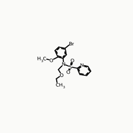 CCOCN(c1cc(Br)ccc1OC)S(=O)(=O)c1ccccn1